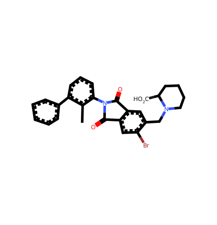 Cc1c(-c2ccccc2)cccc1N1C(=O)c2cc(Br)c(CN3CCCCC3C(=O)O)cc2C1=O